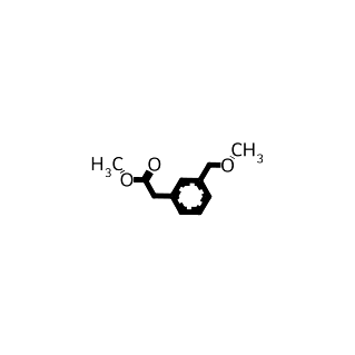 COCc1cccc(CC(=O)OC)c1